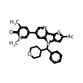 CC(=O)c1cc2c(s1)c1ncc(-c3cc(C)c(=O)n(C)c3)cc1n2C(c1ccccc1)C1CCOCC1